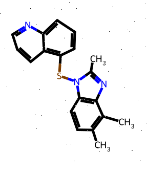 Cc1ccc2c(nc(C)n2Sc2cccc3ncccc23)c1C